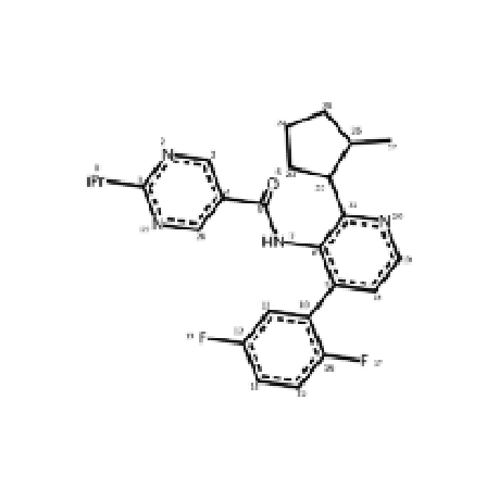 CC(C)c1ncc(C(=O)Nc2c(-c3cc(F)ccc3F)ccnc2C2CCCC2C)cn1